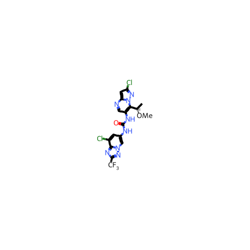 CO[C@@H](C)c1c(NC(=O)Nc2cc(Cl)c3nc(C(F)(F)F)nn3c2)cnc2cc(Cl)nn12